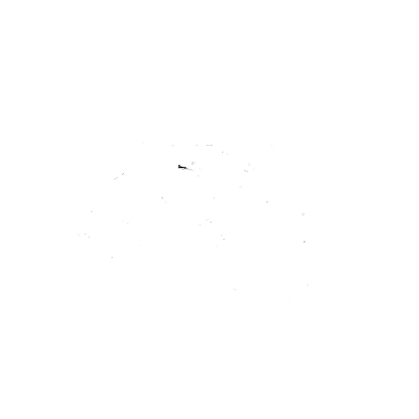 CC1(C)[C@H]2CC[C@@]1(c1ccnc(-n3cnnc3)n1)c1nnc(-c3c(F)cccc3F)cc12